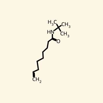 C=CCCCCCCC(=O)NC(C)(C)C